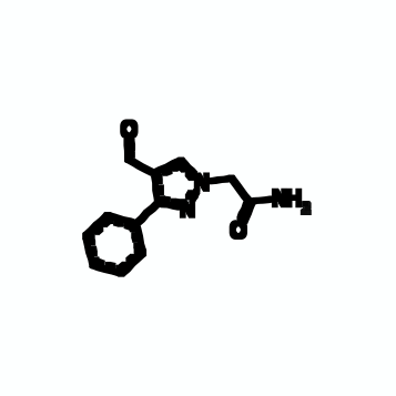 NC(=O)Cn1cc(C=O)c(-c2ccccc2)n1